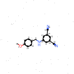 COc1ccc(CNc2cc(C#N)cc(C#N)c2)cc1